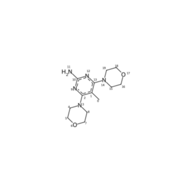 Cc1c(N2CCOCC2)nc(N)nc1N1CCOCC1